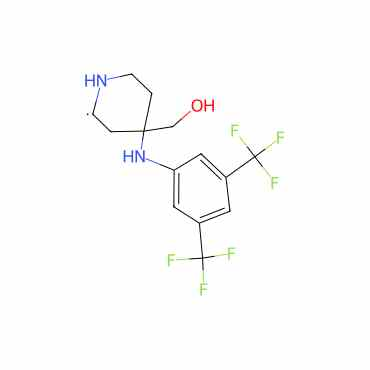 OCC1(Nc2cc(C(F)(F)F)cc(C(F)(F)F)c2)C[CH]NCC1